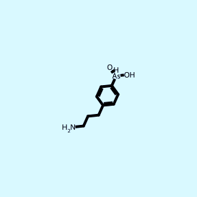 NCCCc1ccc([AsH](=O)O)cc1